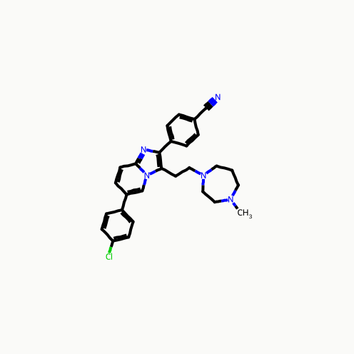 CN1CCCN(CCc2c(-c3ccc(C#N)cc3)nc3ccc(-c4ccc(Cl)cc4)cn23)CC1